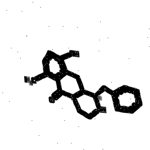 Cc1ccc(O)c2c1C(=O)N1CCN[C@H](Cc3ccccc3)C1C2